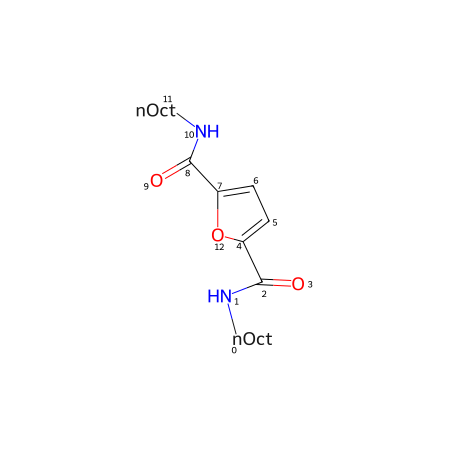 CCCCCCCCNC(=O)c1ccc(C(=O)NCCCCCCCC)o1